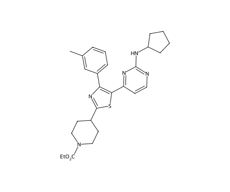 CCOC(=O)N1CCC(c2nc(-c3cccc(C)c3)c(-c3ccnc(NC4CCCC4)n3)s2)CC1